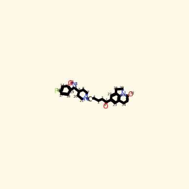 O=C(CCCCN1CCC(c2noc3cc(F)ccc23)CC1)c1cc2c3c(c1)CCN3C(=O)CC2